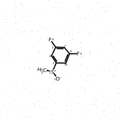 C[S@+]([O-])c1cc(F)cc(F)c1